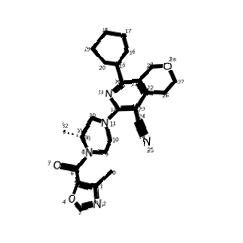 Cc1ncoc1C(=O)N1CCN(c2nc(C3CCCCC3)c3c(c2C#N)CCOC3)C[C@H]1C